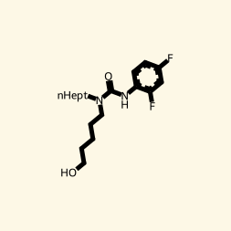 CCCCCCCN(CCCCCO)C(=O)Nc1ccc(F)cc1F